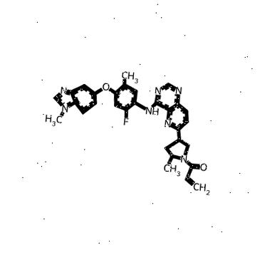 C=CC(=O)N1CC(c2ccc3ncnc(Nc4cc(C)c(Oc5ccc6c(c5)ncn6C)cc4F)c3n2)CC1C